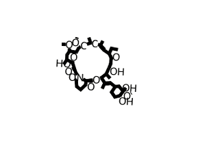 CCC1/C=C(\C)CC(C)CC(OC)C2OC(O)(C(=O)C(=O)N3CCCCC3C(=O)OC(C(C)=CC3CCC(O)C(O)(OC)C3)C(C)C(O)CC1=O)C(C)CC2OC